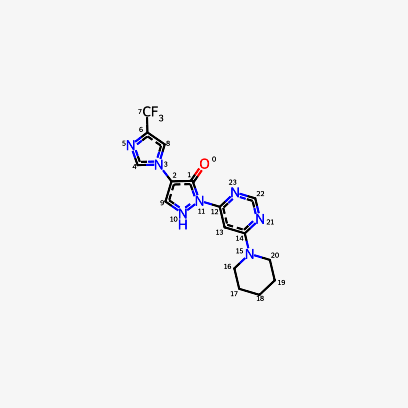 O=c1c(-n2cnc(C(F)(F)F)c2)c[nH]n1-c1cc(N2CCCCC2)ncn1